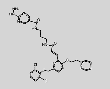 NNc1ccc(C(=O)NCCCNC(=O)C=Cc2nc(CSc3c(Cl)cccc3Cl)ccc2OCCc2ccccc2)cn1